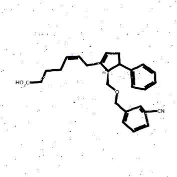 N#Cc1cccc(COC[C@H]2C(C/C=C\CCCC(=O)O)=CCC2c2ccccc2)c1